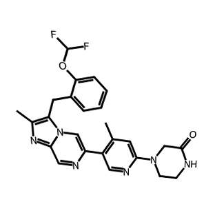 Cc1cc(N2CCNC(=O)C2)ncc1-c1cn2c(Cc3ccccc3OC(F)F)c(C)nc2cn1